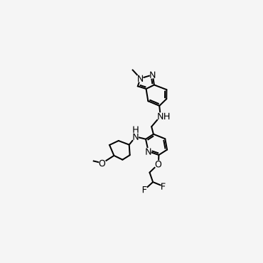 COC1CCC(Nc2nc(OCC(F)F)ccc2CNc2ccc3nn(C)cc3c2)CC1